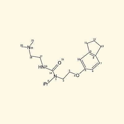 CC(C)N(CCOc1ccc2c(c1)CCC2)C(=O)NCCN(C)C